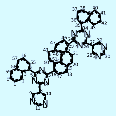 c1ccc2c(-c3nc(-c4cncnc4)nc(-c4ccc5ccc6c(-c7nc(-c8cncnc8)nc(-c8cccc9ccccc89)n7)ccc7ccc4c5c76)n3)cccc2c1